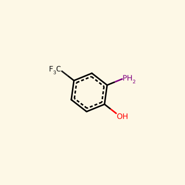 Oc1ccc(C(F)(F)F)cc1P